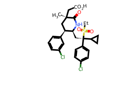 CCS(=O)(=O)[C@](C[C@@H]1NC(=O)[C@](C)(CC(=O)O)C[C@@H]1c1cccc(Cl)c1)(c1ccc(Cl)cc1)C1CC1